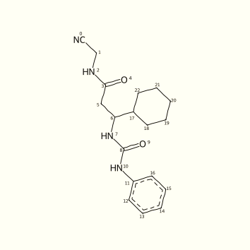 N#CCNC(=O)CC(NC(=O)Nc1ccccc1)C1CCCCC1